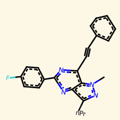 CCCc1nn(C)c2c(C#Cc3ccccc3)nc(-c3ccc(F)cc3)nc12